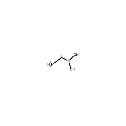 NCN(O)O